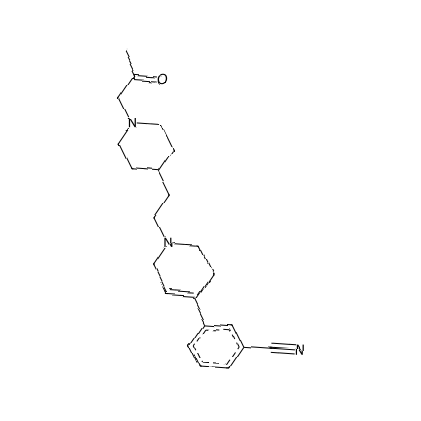 CC(=O)CN1CCC(CCN2CC=C(c3cccc(C#N)c3)CC2)CC1